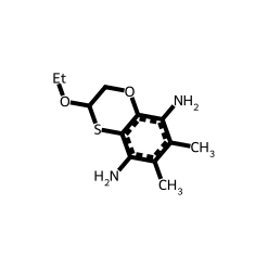 CCOC1COc2c(N)c(C)c(C)c(N)c2S1